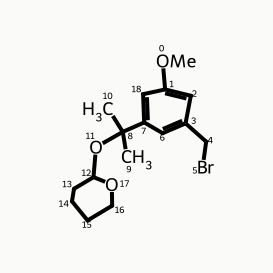 COc1cc(CBr)cc(C(C)(C)OC2CCCCO2)c1